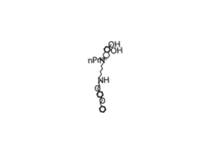 CCCN(CCCCCCNCCOc1ccc(OCc2ccccc2)cc1)[C@H]1CCc2c(ccc(O)c2O)C1